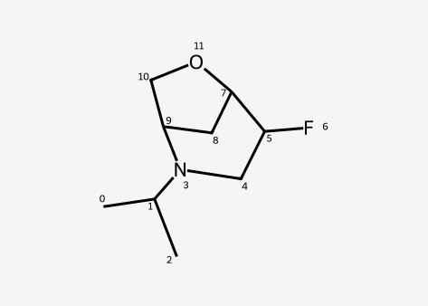 CC(C)N1CC(F)C2CC1CO2